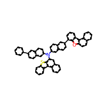 c1ccc(-c2ccc3cc(N(c4ccc5cc(-c6cccc7c6oc6ccc8ccccc8c67)ccc5c4)c4cc5ccccc5c5c4sc4ccccc45)ccc3c2)cc1